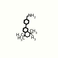 CC1(C)CCC(C)(C)c2cc(-c3ccc(CN)cc3)ccc21